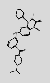 CC(C)N1CCN(C(=O)c2cccc(Nc3ccc4c(n3)N(C3CCCCC3)[C@H](C)C(=O)N4C)c2)CC1